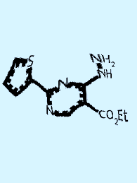 CCOC(=O)c1cnc(-c2cccs2)nc1NN